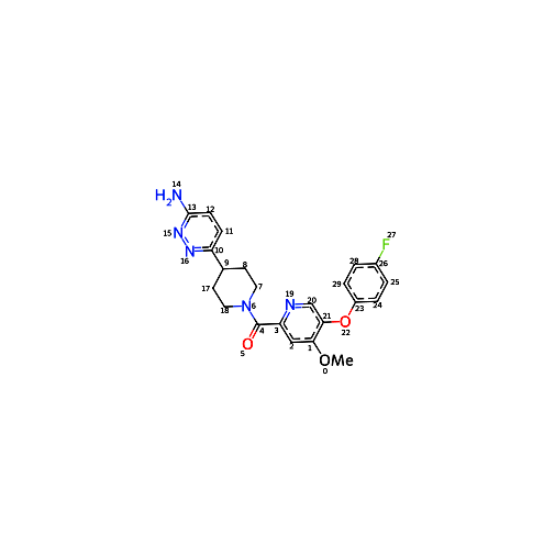 COc1cc(C(=O)N2CCC(c3ccc(N)nn3)CC2)ncc1Oc1ccc(F)cc1